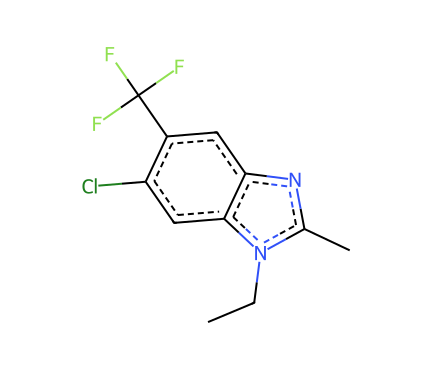 CCn1c(C)nc2cc(C(F)(F)F)c(Cl)cc21